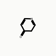 O=C1C=CN=[C]C1